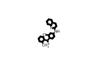 Cc1ccccc1C(=S)c1ccc(Nc2ccc3ccccc3n2)cc1Cl